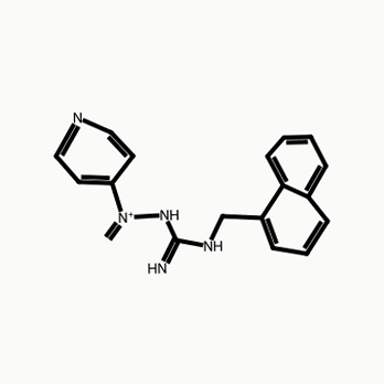 C=[N+](NC(=N)NCc1cccc2ccccc12)c1ccncc1